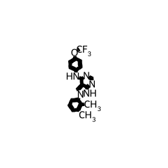 Cc1cccc(N2C=C3C(=NC=NC3Nc3ccc(OC(F)(F)F)cc3)N2)c1C